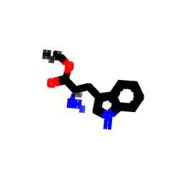 N[C@@H](Cc1c[nH]c2ccccc12)C(=O)O[SiH3]